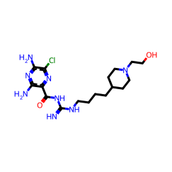 N=C(NCCCCC1CCN(CCO)CC1)NC(=O)c1nc(Cl)c(N)nc1N